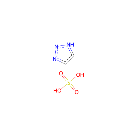 O=S(=O)(O)O.c1c[nH]nn1